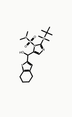 CN(C)S(=O)(=O)n1c(C(O)c2cc3c(s2)CCCC3)cnc1[Si](C)(C)C(C)(C)C